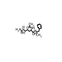 CC(=O)NC(CCCNC(=N)N)C(=O)N[C@H](C)Cc1ccccc1